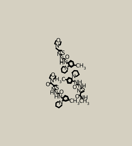 CNC(=O)c1csc(NC(=O)Nc2ccc(C)cc2N2CCCCC2)n1.Cc1ccc(NC(=O)Nc2nc(C(=O)N3CCOCC3)cs2)c(N2CCCCC2)c1.Cc1ccc(NC(=O)Nc2nc(CN3CCOCC3)cs2)c(N2CCCCC2)c1